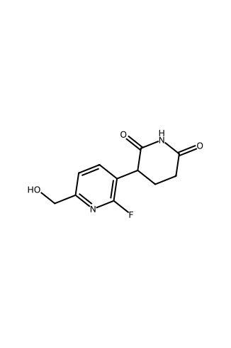 O=C1CCC(c2ccc(CO)nc2F)C(=O)N1